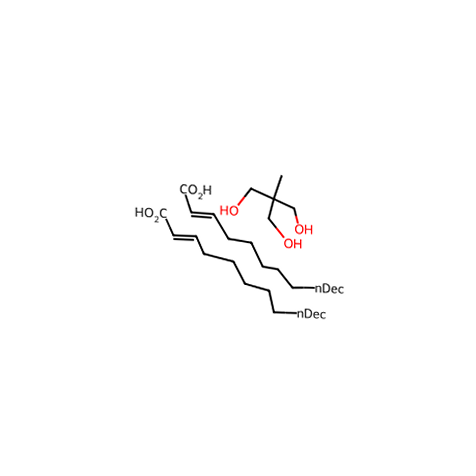 CC(CO)(CO)CO.CCCCCCCCCCCCCCCC=CC(=O)O.CCCCCCCCCCCCCCCC=CC(=O)O